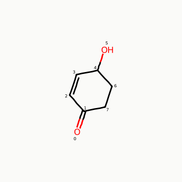 O=C1C=CC(O)CC1